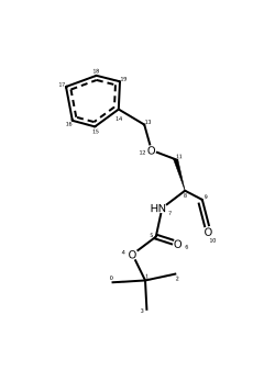 CC(C)(C)OC(=O)N[C@H](C=O)COCc1ccccc1